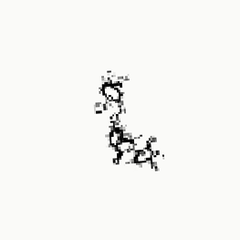 CCN1CCC(F)(F)C[C@@H]1COc1ccc2c(c1)CN([C@@H]1CCC(=O)NC1=O)C2=O